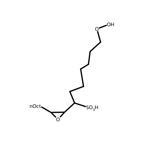 CCCCCCCCC1OC1C(CCCCCCOO)S(=O)(=O)O